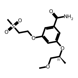 COC[C@H](C)Oc1cc(OCCS(C)(=O)=O)cc(C(N)=O)c1